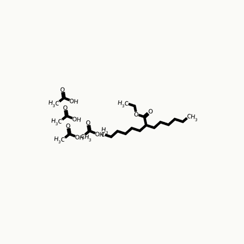 CC(=O)O.CC(=O)O.CC(=O)O.CC(=O)O.CCCCCCC(CCCCCC)C(=O)OCC